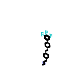 C/C=C/C[C@H]1CC[C@H](CC[C@H]2CC[C@H](c3cc(F)c(F)c(F)c3)CC2)CC1